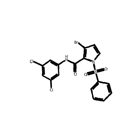 O=C(Nc1cc(Cl)cc(Cl)c1)c1c(Br)ccn1S(=O)(=O)c1ccccc1